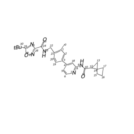 Cc1cc(-c2ccnc(NC(=O)C3CC34CCC4)c2)ccc1CNC(=O)c1noc(C(C)(C)C)n1